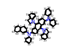 C1=Cc2ccc(N(c3ccccc3)c3ccc4c(N5CCc6ccccc65)c5cc(N(c6ccccc6)c6ccccc6)ccc5c(N5CCc6ccccc65)c4c3)cc2CC1